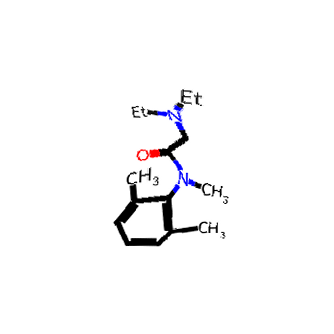 CCN(CC)CC(=O)N(C)c1c(C)cccc1C